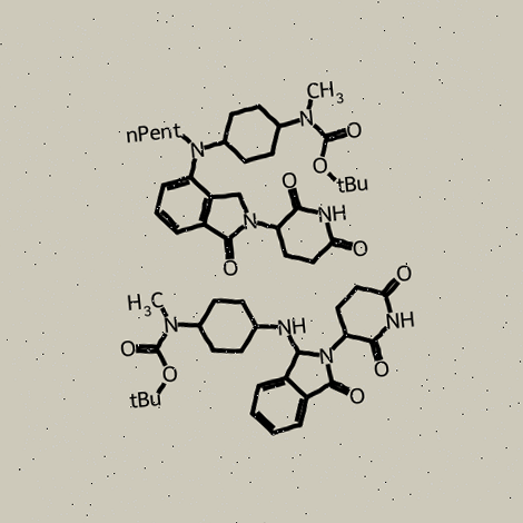 CCCCCN(c1cccc2c1CN(C1CCC(=O)NC1=O)C2=O)C1CCC(N(C)C(=O)OC(C)(C)C)CC1.CN(C(=O)OC(C)(C)C)C1CCC(NC2c3ccccc3C(=O)N2C2CCC(=O)NC2=O)CC1